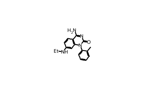 CCNc1ccc2c(N)nc(=O)n(-c3ccccc3C)c2c1